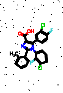 Cc1ccccc1-c1nc(C(=O)O)c(-c2ccc(F)c(Cl)c2)n1-c1cccc(Cl)c1F